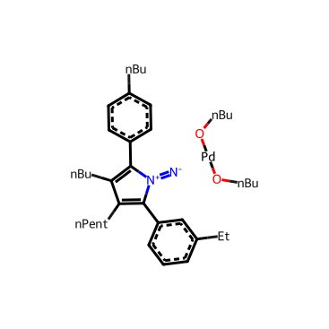 CCCCCC1=C(c2cccc(CC)c2)[N+](=[N-])C(c2ccc(CCCC)cc2)=C1CCCC.CCCC[O][Pd][O]CCCC